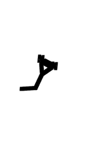 CCC1N=N1